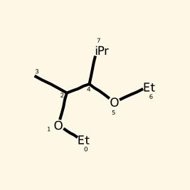 CCOC(C)C(OCC)C(C)C